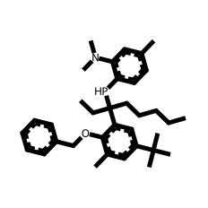 CCCCCC(CC)(Pc1ccc(C)cc1N(C)C)c1cc(C(C)(C)C)cc(C)c1OCc1ccccc1